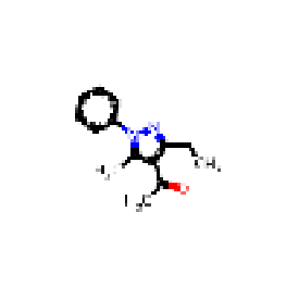 CCc1nn(-c2ccccc2)c(C)c1C(C)=O